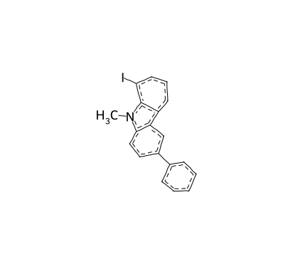 Cn1c2ccc(-c3ccccc3)cc2c2cccc(I)c21